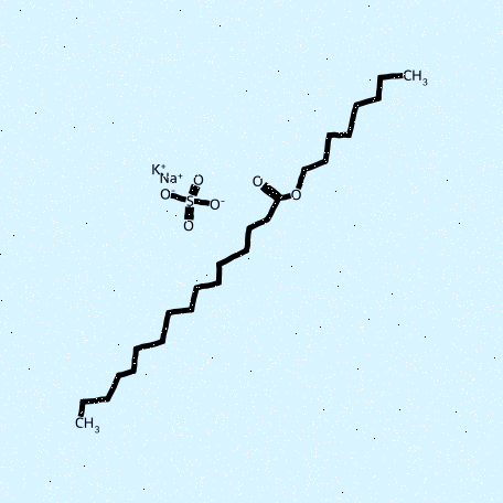 CCCCCCCCCCCCCCCC(=O)OCCCCCCCC.O=S(=O)([O-])[O-].[K+].[Na+]